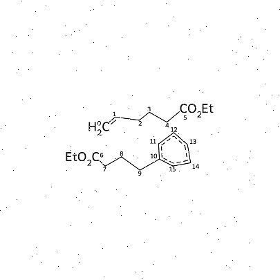 C=CCCCC(=O)OCC.CCOC(=O)CCCc1ccccc1